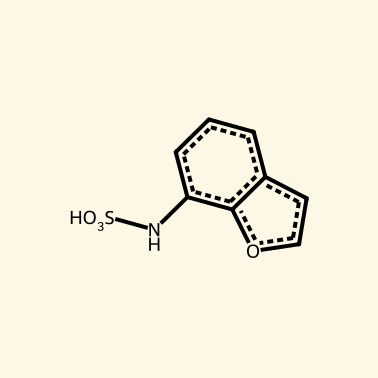 O=S(=O)(O)Nc1cccc2ccoc12